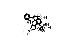 B[C@@H]1CN(C)C[C@@H](O)C1c1c(OP(=O)(O)O)cc(O)c2c(=O)cc(-c3ccccc3Cl)oc12